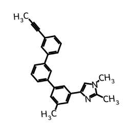 CC#Cc1cccc(-c2cccc(-c3cc(C)cc(-c4cn(C)c(C)n4)c3)c2)c1